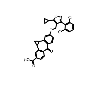 O=C(O)c1ccc2c(c1)C1CC1c1cc(OCc3c(-c4c(Cl)cccc4Cl)noc3C3CC3)ccc1C2=O